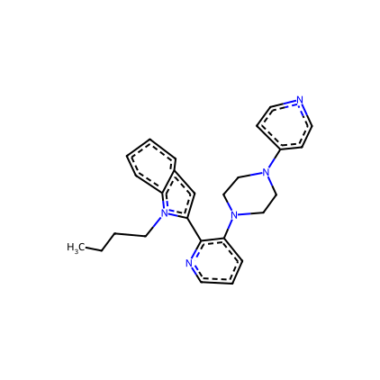 CCCCn1c(-c2ncccc2N2CCN(c3ccncc3)CC2)cc2ccccc21